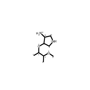 COC(C)C(C)OC1CNCC1N